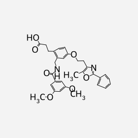 COc1cc(OC)cc(C(=O)NCc2cc(OCCc3nc(-c4ccccc4)oc3C)ccc2CCC(=O)O)c1